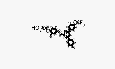 Cc1ccc(-c2cc(-c3ccc(OC(F)(F)F)cc3)nc(COc3ccc(OCC(=O)O)c(C)c3)n2)cc1